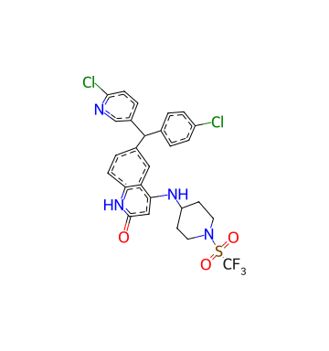 O=c1cc(NC2CCN(S(=O)(=O)C(F)(F)F)CC2)c2cc(C(c3ccc(Cl)cc3)c3ccc(Cl)nc3)ccc2[nH]1